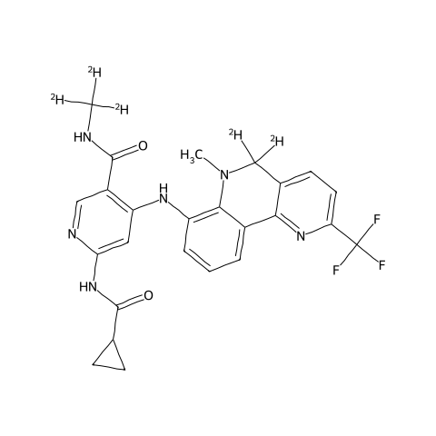 [2H]C([2H])([2H])NC(=O)c1cnc(NC(=O)C2CC2)cc1Nc1cccc2c1N(C)C([2H])([2H])c1ccc(C(F)(F)F)nc1-2